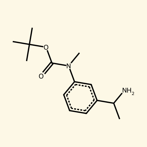 CC(N)c1cccc(N(C)C(=O)OC(C)(C)C)c1